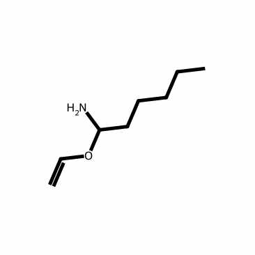 C=COC(N)CCCCC